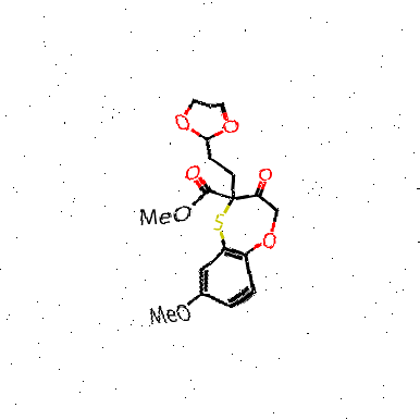 COC(=O)C1(CCC2OCCO2)Sc2cc(OC)ccc2OCC1=O